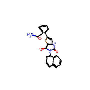 NC(=O)c1ccccc1-c1cc2[nH]c(=O)n(-c3cccc4ccccc34)c(=O)c2s1